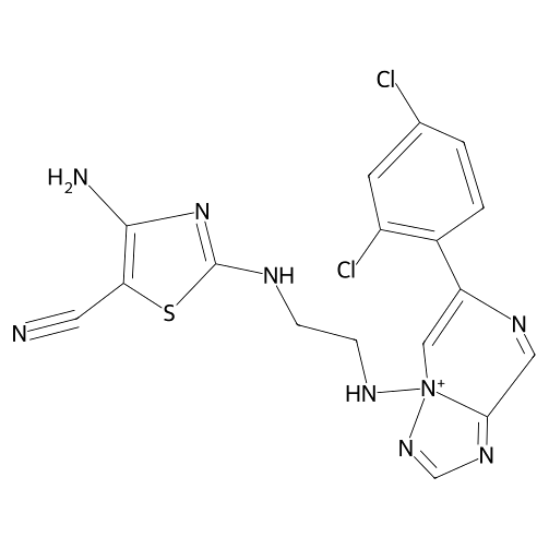 N#Cc1sc(NCCN[N+]23C=C(c4ccc(Cl)cc4Cl)N=CC2=NC=N3)nc1N